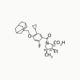 CC[C@@H]1[C@@H](C(=O)O)N(C(=O)c2cc(C3CC3)c(OCC34CC5CC(CC(C5)C3)C4)cc2F)C[C@@H]1C